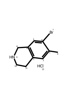 Cc1cc2c(cc1Br)CNCC2.Cl